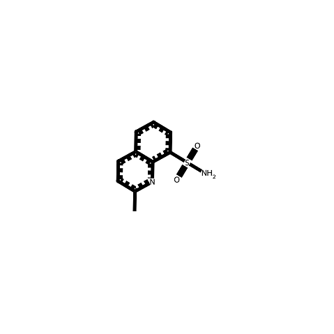 Cc1ccc2cccc(S(N)(=O)=O)c2n1